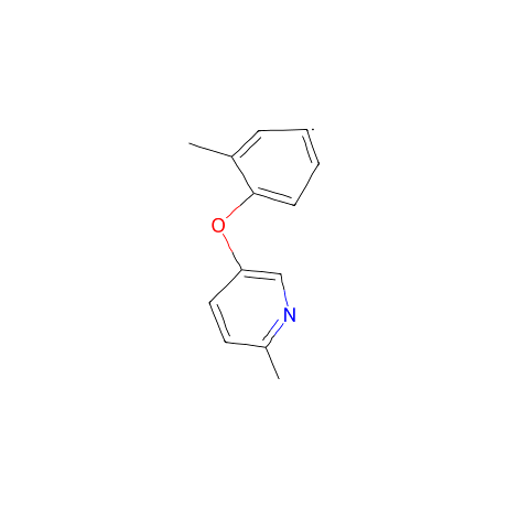 Cc1ccc(Oc2cc[c]cc2C)cn1